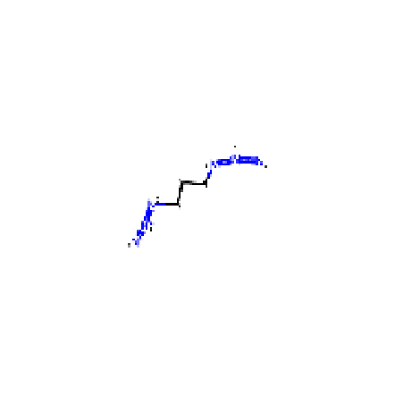 [N-]=[N+]=NCCCN=[N+]=[N-]